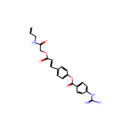 C=CCNC(=O)COC(=O)/C=C/c1ccc(OC(=O)c2ccc(NC(=N)N)cc2)cc1